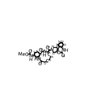 COC(=O)Nc1ccc2c(c1)NC(=O)CCCCCC(C(=O)N1CCC3(CC1)OC(=O)Nc1ccccc13)NC2=O